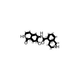 O=C(Nc1cc2cc[nH]c(=O)c2cc1Cl)c1cccc2c1CCNC2